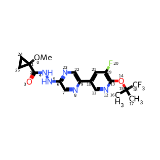 COC1(C(=O)NNc2cnc(-c3cnc(OC(C)(C)C(F)(F)F)c(F)c3)cn2)CC1